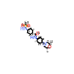 CCS(=O)(=O)N[C@H]1CC[C@H](C(=O)Nc2ccc(N3C[C@@H](C)O[C@@H](C)C3)cc2)CC1